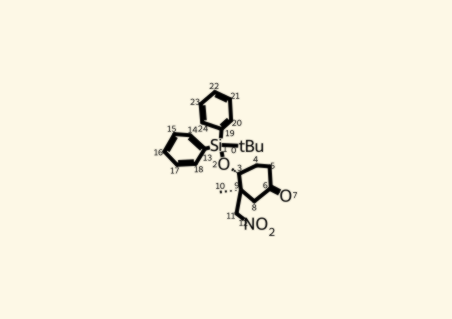 CC(C)(C)[Si](O[C@@H]1CCC(=O)C[C@@]1(C)C[N+](=O)[O-])(c1ccccc1)c1ccccc1